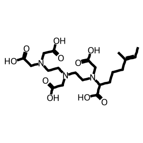 C/C=C(\C)CCCC(C(=O)O)N(CCN(CCN(CC(=O)O)CC(=O)O)CC(=O)O)CC(=O)O